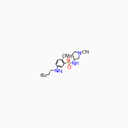 CCC(C)CCNc1ccc(OC)c(S(=O)(=O)NC2CCN(C#N)C2)c1